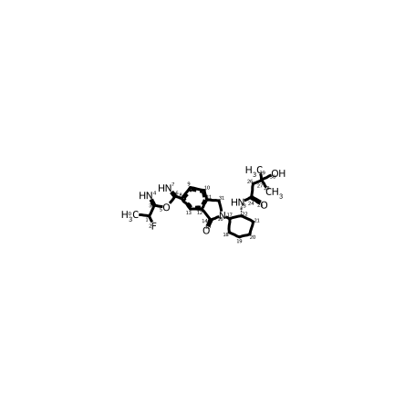 CC(F)C(=N)OC(=N)c1ccc2c(c1)C(=O)N(C1CCCC[C@H]1NC(=O)CC(C)(C)O)C2